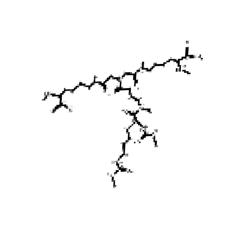 CNC(CCCCNC(=O)CN(CC(=O)NCCCCC(NC)C(N)=O)C(=O)CCCN(C)C(=O)[C@H](CCCCNC(=O)OC)NC(=O)OC)C(N)=O